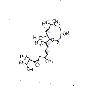 CCC(O)C(C)C1OC1CC(C)/C=C/C=C(\C)C1OC(=O)CC(O)CCC(C)C(O)/C=C/C1C